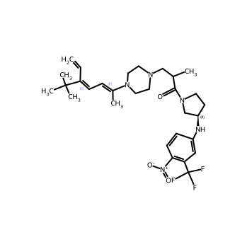 C=C/C(=C\C=C(/C)N1CCN(CC(C)C(=O)N2CC[C@@H](Nc3ccc([N+](=O)[O-])c(C(F)(F)F)c3)C2)CC1)C(C)(C)C